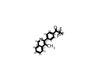 Cc1c(-c2ccc(C(=O)C(F)(F)F)cc2)ncc2ccccc12